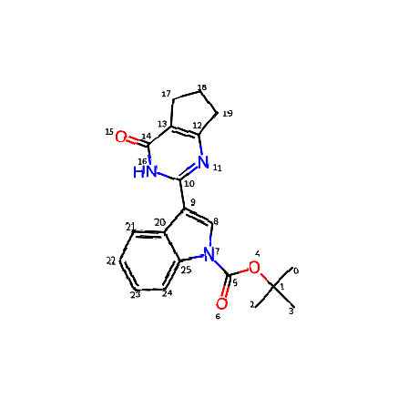 CC(C)(C)OC(=O)n1cc(-c2nc3c(c(=O)[nH]2)CCC3)c2ccccc21